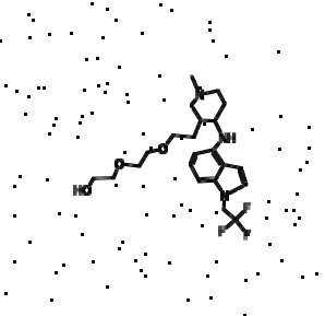 CN1CCC(Nc2cccc3c2ccn3CC(F)(F)F)C(CCOCCOCCO)C1